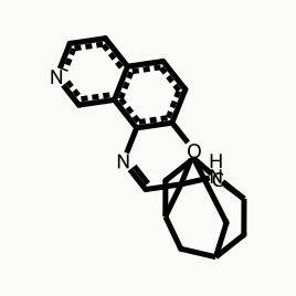 C1=Nc2c(ccc3ccncc23)OC12NC1CC3CC(C1)CC2C3